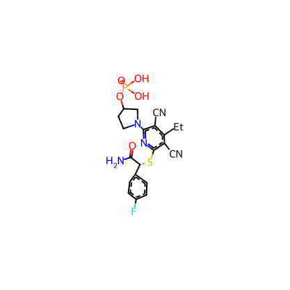 CCc1c(C#N)c(S[C@@H](C(N)=O)c2ccc(F)cc2)nc(N2CCC(OP(=O)(O)O)C2)c1C#N